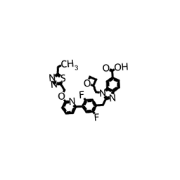 CCc1nnc(COc2cccc(-c3cc(F)c(Cc4nc5ccc(C(=O)O)cc5n4CC4CCO4)cc3F)n2)s1